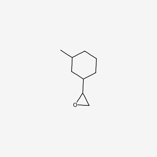 CC1CCCC(C2CO2)C1